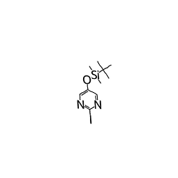 CC(C)(C)[Si](C)(C)Oc1cnc(I)nc1